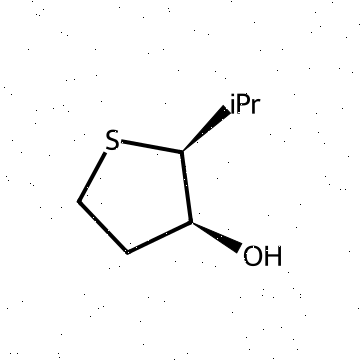 CC(C)[C@@H]1SCC[C@@H]1O